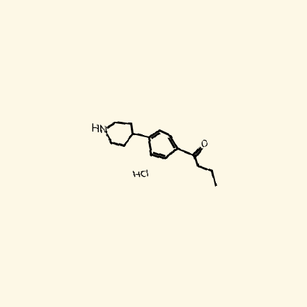 CCCC(=O)c1ccc(C2CCNCC2)cc1.Cl